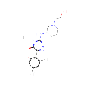 Cc1cc(C(F)(F)F)cc(O)c1-c1nnc(N[C@@H]2CCCN(CCO)C2)n(C)c1=O